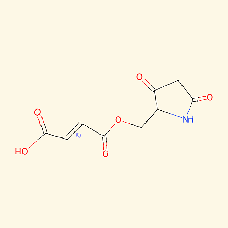 O=C(O)/C=C/C(=O)OCC1NC(=O)CC1=O